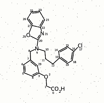 O=C(O)COc1cccc(CN(CCCc2ccc(Cl)cc2)c2nc3ccccc3o2)c1